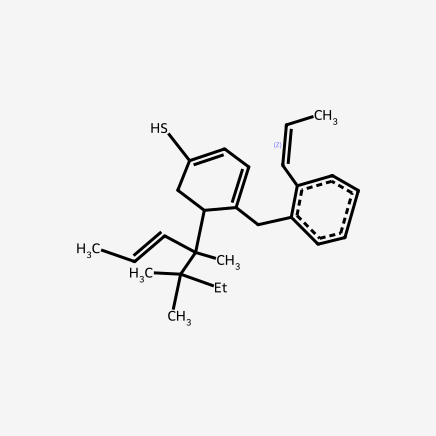 CC=CC(C)(C1CC(S)=CC=C1Cc1ccccc1/C=C\C)C(C)(C)CC